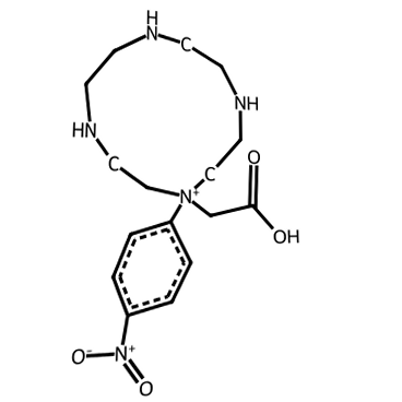 O=C(O)C[N+]1(c2ccc([N+](=O)[O-])cc2)CCNCCNCCNCC1